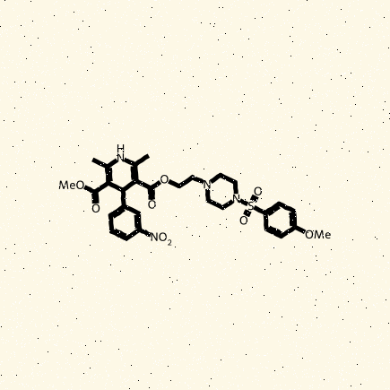 COC(=O)C1=C(C)NC(C)=C(C(=O)OCCN2CCN(S(=O)(=O)c3ccc(OC)cc3)CC2)C1c1cccc([N+](=O)[O-])c1